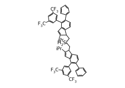 CC(C)C1=Cc2c(ccc(-c3ccccc3)c2-c2cc(C(F)(F)F)cc(C(F)(F)F)c2)C1C[SiH2]CC1C(C(C)C)=Cc2c1ccc(-c1ccccc1)c2-c1cc(C(F)(F)F)cc(C(F)(F)F)c1